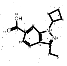 CCc1nn(C2CCC2)c2cc(C(=O)O)ccc12